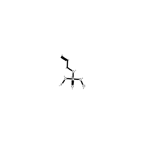 C=CCOP(=O)(OF)OCl